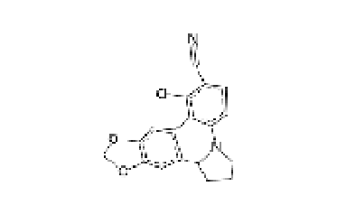 N#Cc1ccc2c(c1Cl)-c1cc3c(cc1C1CCCN21)OCO3